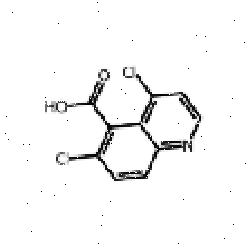 O=C(O)c1c(Cl)ccc2nccc(Cl)c12